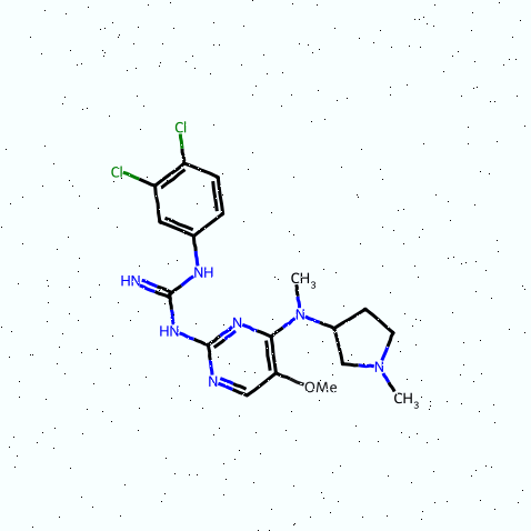 COc1cnc(NC(=N)Nc2ccc(Cl)c(Cl)c2)nc1N(C)C1CCN(C)C1